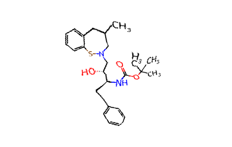 CC1Cc2ccccc2SN(C[C@@H](O)[C@H](Cc2ccccc2)NC(=O)OC(C)(C)C)C1